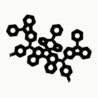 Fc1ccc(N(c2ccc3c(c2)c2ccccc2n3-c2ccccc2)c2cc3c(c4ccccc24)-c2c(cc(N(c4ccc(F)cc4)c4ccc5c6ccccc6n(-c6ccccc6)c5c4)c4ccccc24)C32c3ccccc3N(c3ccccc3)c3ccccc32)cc1